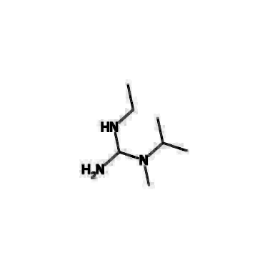 CCNC(N)N(C)C(C)C